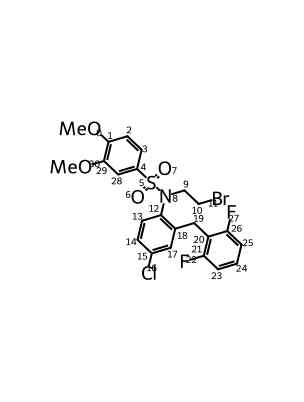 COc1ccc(S(=O)(=O)N(CCBr)c2ccc(Cl)cc2Cc2c(F)cccc2F)cc1OC